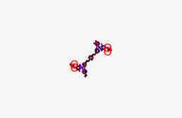 C=CC(=O)Oc1ccc(N(c2ccc(C=C)cc2)c2ccc(C=Cc3ccc(C=Cc4ccc(N(c5ccc(OC(=O)C=C)cc5)c5ccc(C)c(C)c5)cc4)cc3)cc2)cc1